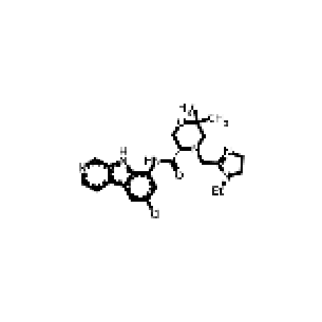 CCN1CCN=C1CN1CC(C)(C)OC[C@H]1C(=O)Nc1cc(Cl)cc2c1[nH]c1cnccc12